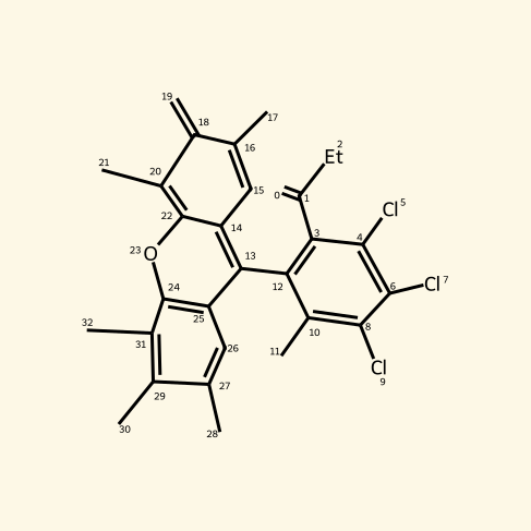 C=C(CC)c1c(Cl)c(Cl)c(Cl)c(C)c1C1=c2cc(C)c(=C)c(C)c2Oc2c1cc(C)c(C)c2C